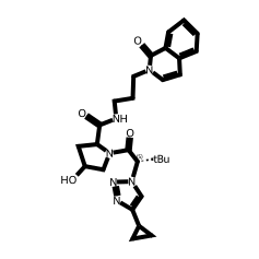 CC(C)(C)[C@@H](C(=O)N1CC(O)CC1C(=O)NCCCn1ccc2ccccc2c1=O)n1cc(C2CC2)nn1